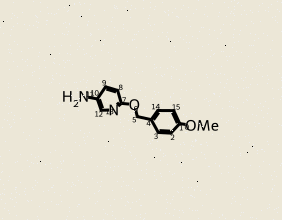 COc1ccc(COc2ccc(N)cn2)cc1